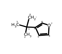 [CH2]C(C)(C)c1ccoc1